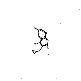 Clc1nc2ccc(I)cc2c(Cl)c1CC1CC1